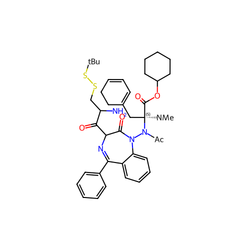 CN[C@](CC1=CC=CCC1)(C(=O)OC1CCCCC1)N(C(C)=O)N1C(=O)C(C(=O)C(N)CSSC(C)(C)C)N=C(c2ccccc2)c2ccccc21